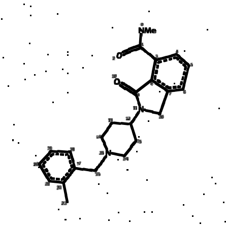 CNC(=O)c1cccc2c1C(=O)N(C1CCN(Cc3ccccc3C)CC1)C2